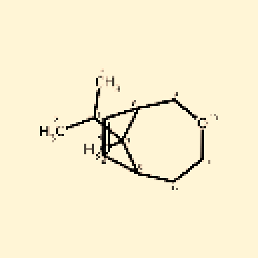 CC(C)C1(C)C2C=CC1COCC2